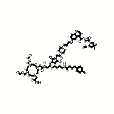 C#C[C@H]1CC(F)(F)CN1C(=O)CNC(=O)c1ccnc2ccc(OCCCN3CCN(C(=O)CN4C(=O)CC(S[C@H](CCCCCNC(=O)CCCc5ccc(I)cc5)CNC(=O)CN5CCN(COC=O)CCN(COC=O)CCN(CC(=O)O)CC5)C4=O)CC3)cc12